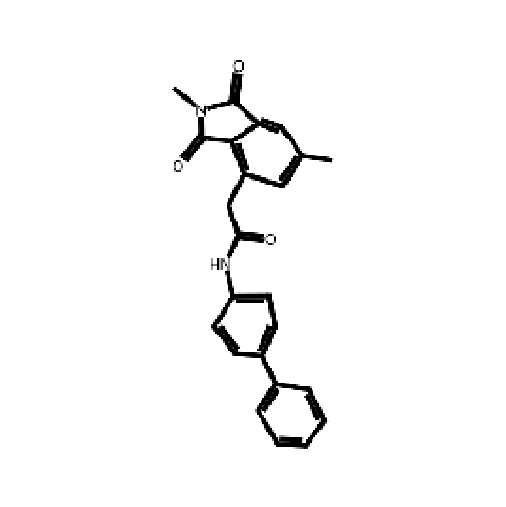 Cc1cc(CC(=O)Nc2ccc(-c3ccccc3)cc2)c2c(c1)C(=O)N(C)C2=O